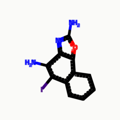 Nc1nc2c(N)c(I)c3ccccc3c2o1